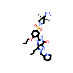 CCCOc1ccc(S(=O)(=O)N2C[C@@H]3C(N)[C@@H]3C2)cc1-c1nc2c(CCC)n(Cc3ccccn3)nc2c(=O)[nH]1